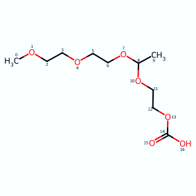 COCCOCCOC(C)OCCOC(=O)O